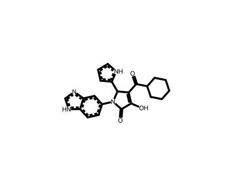 O=C(C1=C(O)C(=O)N(c2ccc3[nH]cnc3c2)C1c1ccc[nH]1)C1CCCCC1